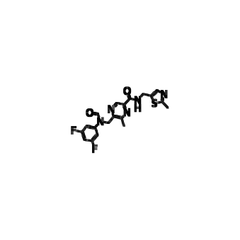 Cc1ncc(CNC(=O)c2cnc(CN(C=O)c3cc(F)cc(F)c3)c(C)n2)s1